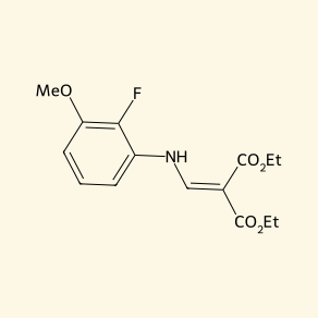 CCOC(=O)C(=CNc1cccc(OC)c1F)C(=O)OCC